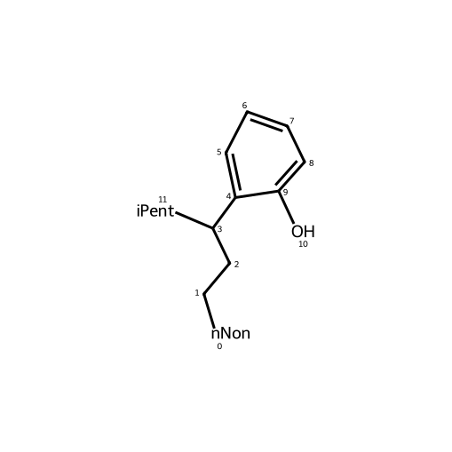 CCCCCCCCCCCC(c1ccccc1O)C(C)CCC